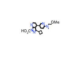 COCCN(C)c1ccc(-c2ccnc3c2c(C2CCC2)nn3C(=O)O)cn1